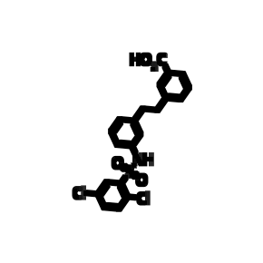 O=C(O)c1cccc(CCc2cccc(NS(=O)(=O)c3cc(Cl)ccc3Cl)c2)c1